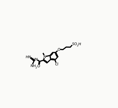 Cn1c(C(=O)NC(=N)N)cc2c(Cl)cc(OCCCS(=O)(=O)O)cc21